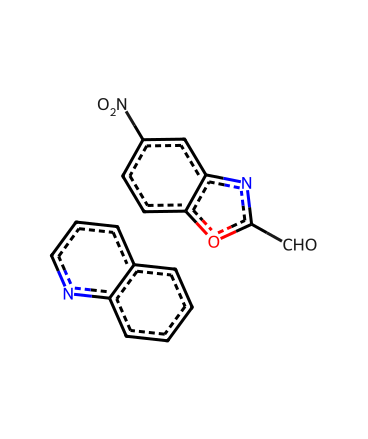 O=Cc1nc2cc([N+](=O)[O-])ccc2o1.c1ccc2ncccc2c1